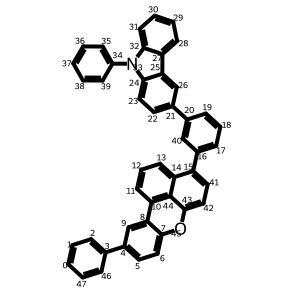 c1ccc(-c2ccc3c(c2)-c2cccc4c(-c5cccc(-c6ccc7c(c6)c6ccccc6n7-c6ccccc6)c5)ccc(c24)O3)cc1